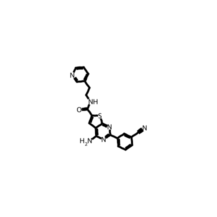 N#Cc1cccc(-c2nc(N)c3cc(C(=O)NCCc4cccnc4)sc3n2)c1